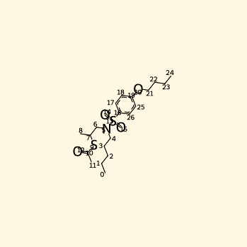 CCCCCN(CC(C)SC(C)=O)S(=O)(=O)c1ccc(OCCCC)cc1